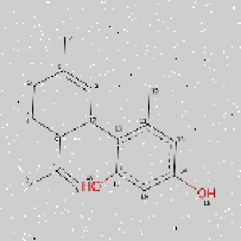 C=C(C)C1CCC(C)=CC1c1c(C)cc(O)cc1O